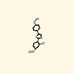 CC(C)Oc1ccc(-c2cnc(-c3ccc(C=O)cc3Cl)s2)cc1